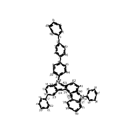 c1ccc(-c2ccc(-c3ccc(-n4c5ccc(-c6ccccc6)cc5c5c6c7ccccc7n(-c7ccccc7)c6ccc54)cc3)cc2)cc1